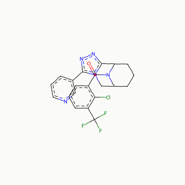 O=C(c1cccc(C(F)(F)F)c1Cl)N1C2CCCC1c1nnc(-c3cccnc3)n1C2